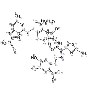 Cc1cc(SCC2=C(C(=O)O)N3C(=O)[C@@H](NC(=O)/C(=N\OCc4cc(O)c(O)cc4C(=O)O)c4csc(N)n4)[C@H]3SC2)n2nc(C(=O)O)nc2n1.O